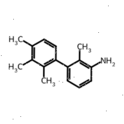 Cc1ccc(-c2cccc(N)c2C)c(C)c1C